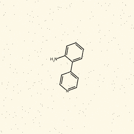 Nc1c[c]ccc1-c1ccncc1